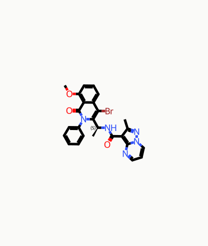 COc1cccc2c(Br)c([C@H](C)NC(=O)c3c(C)nn4cccnc34)n(-c3ccccc3)c(=O)c12